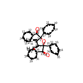 C=CCC(OC(CC=C)(C(=O)c1ccccc1)c1ccccc1)(C(=O)c1ccccc1)c1ccccc1